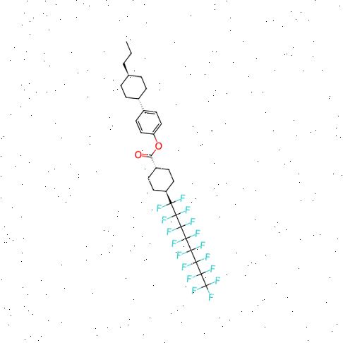 CCC[C@H]1CC[C@H](c2ccc(OC(=O)[C@H]3CC[C@H](C(F)(F)C(F)(F)C(F)(F)C(F)(F)C(F)(F)C(F)(F)C(F)(F)C(F)(F)F)CC3)cc2)CC1